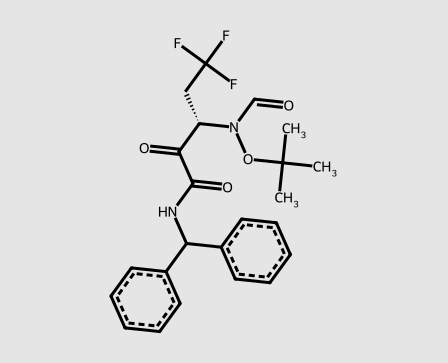 CC(C)(C)ON(C=O)[C@@H](CC(F)(F)F)C(=O)C(=O)NC(c1ccccc1)c1ccccc1